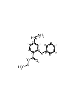 CCOC(=O)c1cnc(NN)nc1Cc1ccccc1